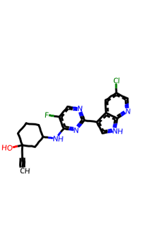 C#CC1(O)CCCC(Nc2nc(-c3c[nH]c4ncc(Cl)cc34)ncc2F)C1